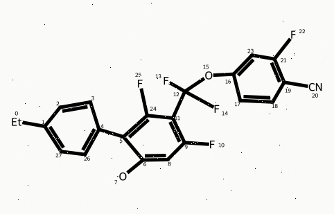 CCc1ccc(-c2c([O])cc(F)c(C(F)(F)Oc3ccc(C#N)c(F)c3)c2F)cc1